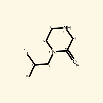 CC(I)CN1CCNCC1=O